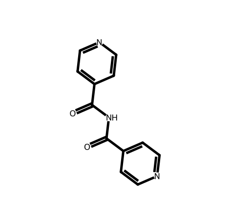 O=C(NC(=O)c1ccncc1)c1ccncc1